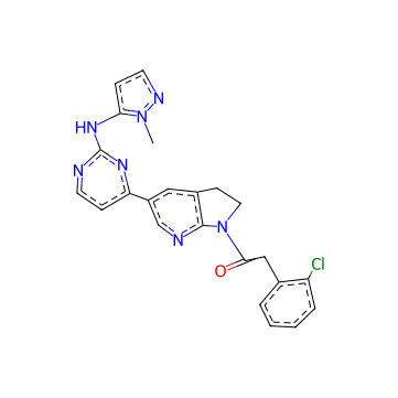 Cn1nccc1Nc1nccc(-c2cnc3c(c2)CCN3C(=O)Cc2ccccc2Cl)n1